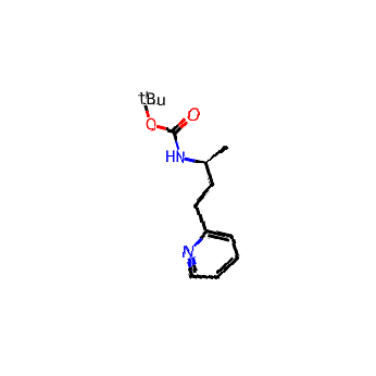 C[C@@H](CCc1ccccn1)NC(=O)OC(C)(C)C